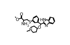 COC(=O)C(N)CSc1cccc(C(OC2CCN(C)CC2)c2nc3ccccc3[nH]2)c1